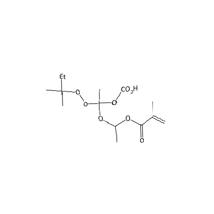 C=C(C)C(=O)OC(C)OC(C)(OOC(C)(C)CC)OC(=O)O